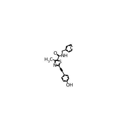 Cc1nc(C#Cc2ccc(O)cc2)sc1C(=O)NCc1ccccc1